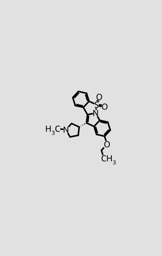 CCOc1ccc2c(c1)c([C@@H]1CCN(C)C1)c1n2S(=O)(=O)c2ccccc2-1